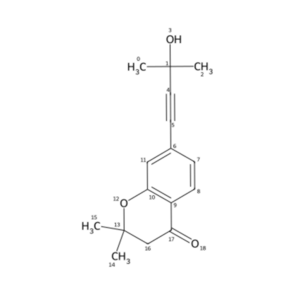 CC(C)(O)C#Cc1ccc2c(c1)OC(C)(C)CC2=O